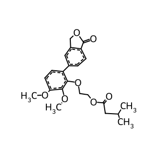 COc1ccc(-c2ccc3c(c2)COC3=O)c(OCCOC(=O)CC(C)C)c1OC